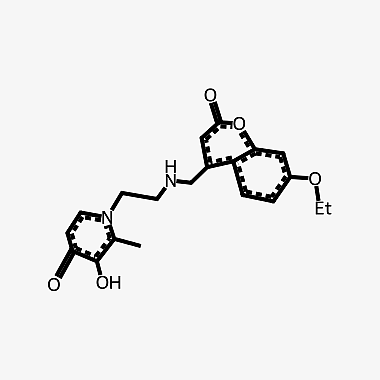 CCOc1ccc2c(CNCCn3ccc(=O)c(O)c3C)cc(=O)oc2c1